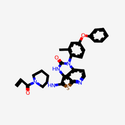 C=CC(=O)N1CCCC(Nc2sc3nccc4c3c2NC(=O)N4c2ccc(Oc3ccccc3)cc2C)C1